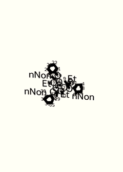 CCCCCCCCCc1ccccc1OC(C)(OCC)OP(OC(C)(OCC)Oc1ccccc1CCCCCCCCC)OC(C)(OCC)Oc1ccccc1CCCCCCCCC